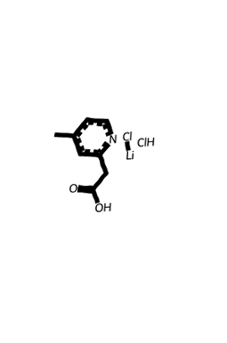 Cc1ccnc(CC(=O)O)c1.Cl.[Li][Cl]